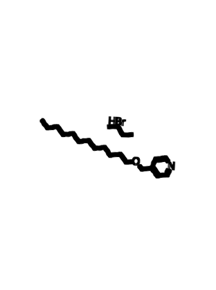 Br.CCCC.CCCCCCCCCCCCOCc1ccncc1